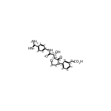 N=C(N)c1ccc(NC(=O)[C@H](O)[C@H]2OCCN(c3cccc(CC(=O)O)c3)C2=O)cc1